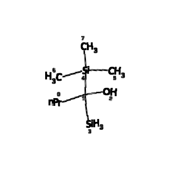 [CH2]CCC(O)([SiH3])[Si](C)(C)C